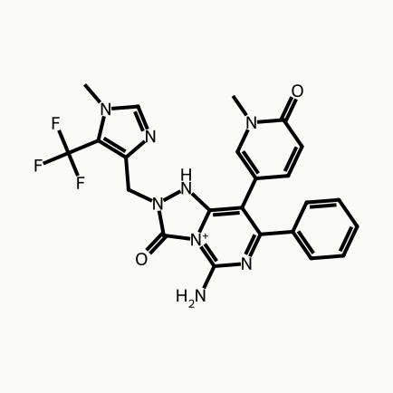 Cn1cnc(Cn2[nH]c3c(-c4ccc(=O)n(C)c4)c(-c4ccccc4)nc(N)[n+]3c2=O)c1C(F)(F)F